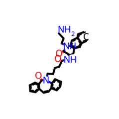 NCCCNC(=O)[C@@H](Cc1ccc2ccccc2c1)NC(=O)CCCCN1C(=O)c2ccccc2/C=C\c2ccccc21